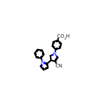 N#CC1=CN(c2ccc(C(=O)O)cc2)CC1c1cccn1-c1ccccc1